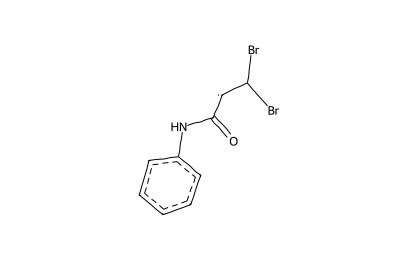 O=C([CH]C(Br)Br)Nc1ccccc1